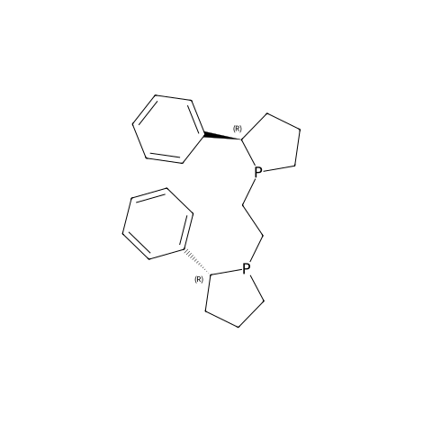 c1ccc([C@H]2CCCP2CCP2CCC[C@@H]2c2ccccc2)cc1